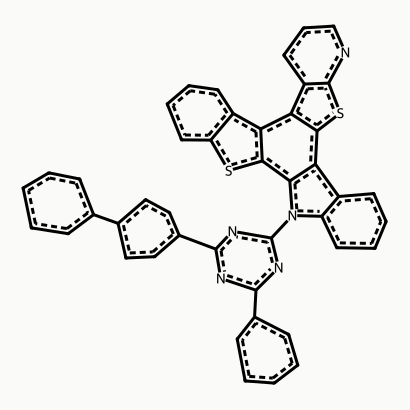 c1ccc(-c2ccc(-c3nc(-c4ccccc4)nc(-n4c5ccccc5c5c6sc7ncccc7c6c6c7ccccc7sc6c54)n3)cc2)cc1